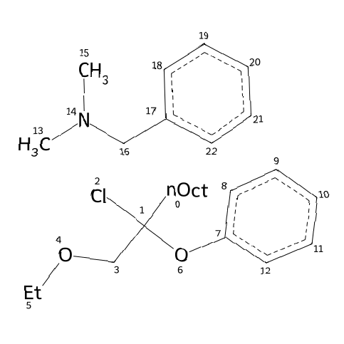 CCCCCCCCC(Cl)(COCC)Oc1ccccc1.CN(C)Cc1ccccc1